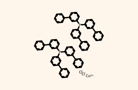 [Cl-].[Cl-].[Co+2].c1ccc(-c2cccc(P(c3cccc(-c4ccccc4)c3)c3cccc(-c4ccccc4)c3)c2)cc1.c1ccc(-c2cccc(P(c3cccc(-c4ccccc4)c3)c3cccc(-c4ccccc4)c3)c2)cc1